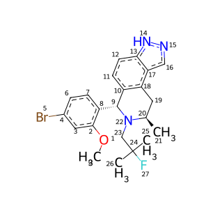 COc1cc(Br)ccc1[C@@H]1c2ccc3[nH]ncc3c2C[C@@H](C)N1CC(C)(C)F